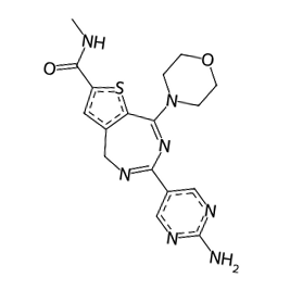 CNC(=O)c1cc2c(s1)C(N1CCOCC1)=NC(c1cnc(N)nc1)=NC2